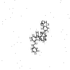 COc1cccc(-c2nc3c(Nc4cccc(CCc5ccccc5)c4)ncnc3s2)c1